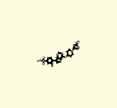 CCCS(=O)(=O)c1ccc(-c2csc3c(OC4CCN(c5nc(C(C)C)no5)CC4)ncnc23)c(F)c1